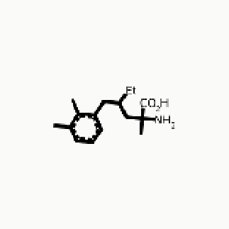 CCC(Cc1cccc(C)c1C)CC(C)(N)C(=O)O